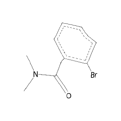 CN(C)C(=O)c1ccccc1Br